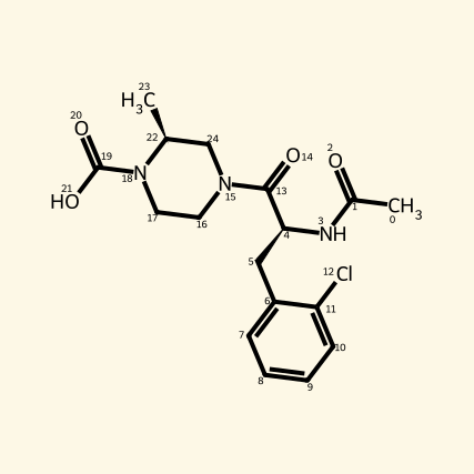 CC(=O)N[C@@H](Cc1ccccc1Cl)C(=O)N1CCN(C(=O)O)[C@@H](C)C1